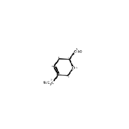 CCOC(=O)C1=CCC(C=O)OC1